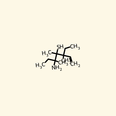 C=CC(C)(CC)C(C)(S)C(C)(N)CC